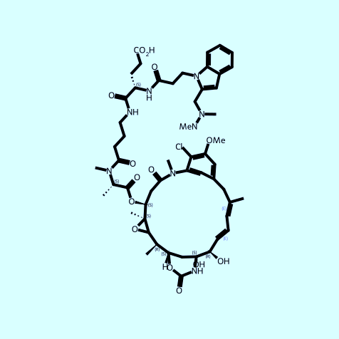 CNN(C)Cc1cc2ccccc2n1CCC(=O)N[C@@H](CCC(=O)O)C(=O)NCCCC(=O)N(C)[C@@H](C)C(=O)O[C@H]1CC(=O)N(C)c2cc(cc(OC)c2Cl)C/C(C)=C/C=C/[C@@H](O)[C@@]2(O)C[C@H](OC(=O)N2)[C@@H](C)C2O[C@]21C